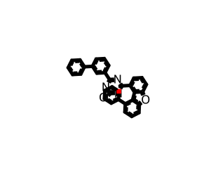 Clc1nc(-c2cccc(-c3ccccc3)c2)nc(-c2cccc3oc4cccc(-c5ccccc5)c4c23)n1